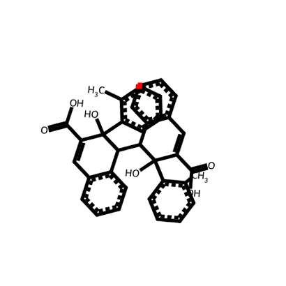 Cc1ccccc1C1(O)C(C(=O)O)=Cc2ccccc2C1C1c2ccccc2C=C(C(=O)O)C1(O)c1ccccc1C